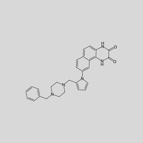 O=c1[nH]c2ccc3ccc(-n4cccc4CN4CCN(Cc5ccccc5)CC4)cc3c2[nH]c1=O